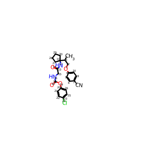 CC(COc1ccc(C#N)cc1)C1(NC(=O)CNC(=O)Oc2ccc(Cl)cc2)CCCC1